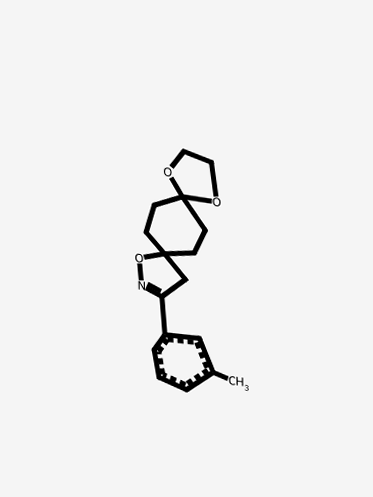 Cc1cccc(C2=NOC3(CCC4(CC3)OCCO4)C2)c1